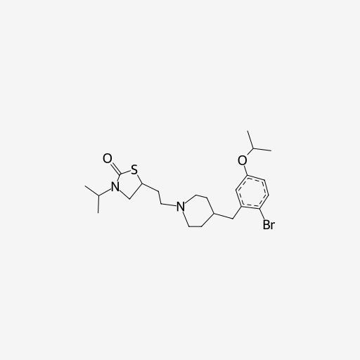 CC(C)Oc1ccc(Br)c(CC2CCN(CCC3CN(C(C)C)C(=O)S3)CC2)c1